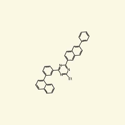 CCc1nc(-c2cccc(-c3cccc4ccccc34)c2)nc(-c2ccc3cc(-c4ccccc4)ccc3c2)n1